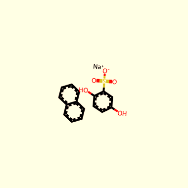 O=S(=O)([O-])c1cc(O)ccc1O.[Na+].c1ccc2ccccc2c1